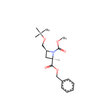 CC(C)(C)OC(=O)N1[C@H](CO[Si](C)(C)C(C)(C)C)C[C@]1(C)C(=O)OCc1ccccc1